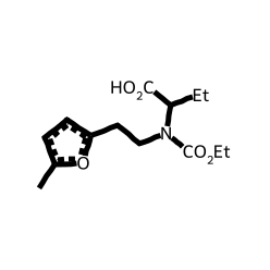 CCOC(=O)N(CCc1ccc(C)o1)C(CC)C(=O)O